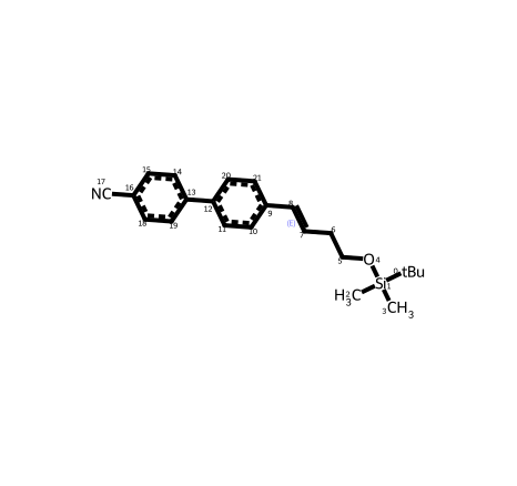 CC(C)(C)[Si](C)(C)OCC/C=C/c1ccc(-c2ccc(C#N)cc2)cc1